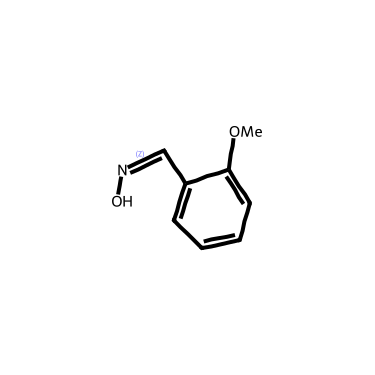 COc1ccccc1/C=N\O